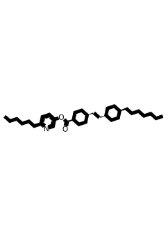 CCCCCCC[C@H]1CC[C@H](CC[C@H]2CC[C@H](C(=O)Oc3ccc(CCCCCC)nc3)CC2)CC1